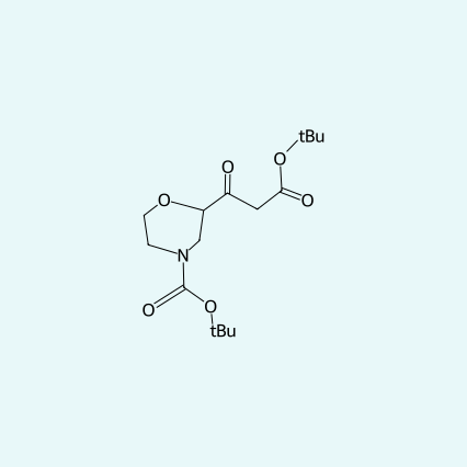 CC(C)(C)OC(=O)CC(=O)C1CN(C(=O)OC(C)(C)C)CCO1